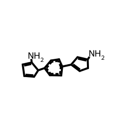 NC1=CC(c2ccc(C3C=CC=C3N)cc2)=CC1